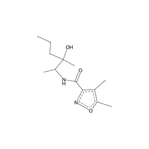 CCCC(C)(O)C(C)NC(=O)c1noc(C)c1C